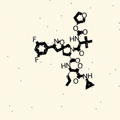 CCC[C@H](NC(=O)[C@@H]1C[C@]2(CC(c3cc(F)cc(F)c3)=NO2)CN1C(=O)[C@@H](NC(=O)O[C@@H]1CCOC1)C(C)(C)C)C(=O)C(=O)NC1CC1